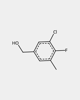 Cc1cc(CO)cc(Cl)c1F